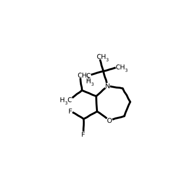 CC(C)C1C(C(F)F)OCCCN1C(C)(C)C